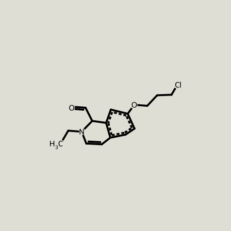 CCN1C=Cc2ccc(OCCCCl)cc2C1C=O